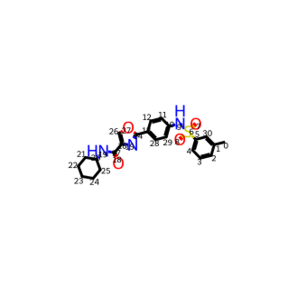 Cc1cccc(S(=O)(=O)Nc2ccc(-c3nc(C(=O)NC4CCCCC4)co3)cc2)c1